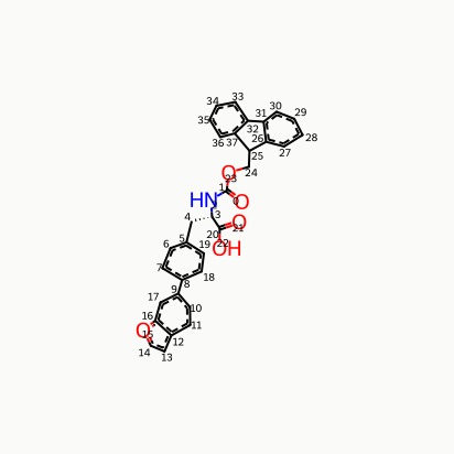 O=C(N[C@@H](Cc1ccc(-c2ccc3ccoc3c2)cc1)C(=O)O)OCC1c2ccccc2-c2ccccc21